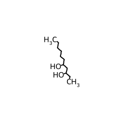 CCCCCCC(O)CC(O)CC